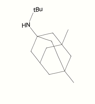 CC12CC3CC(C)(C1)CC(NC(C)(C)C)(C3)C2